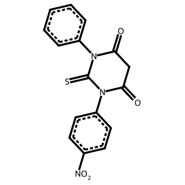 O=C1CC(=O)N(c2ccc([N+](=O)[O-])cc2)C(=S)N1c1ccccc1